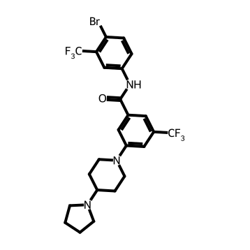 O=C(Nc1ccc(Br)c(C(F)(F)F)c1)c1cc(N2CCC(N3CCCC3)CC2)cc(C(F)(F)F)c1